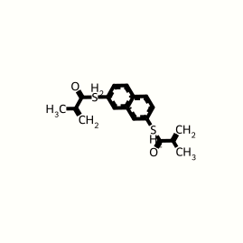 C=C(C)C(=O)[SH2]c1ccc2ccc([SH2]C(=O)C(=C)C)cc2c1